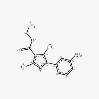 CCOC(=O)c1c(C)nn(-c2cccc(N)c2)c1C